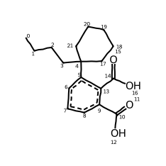 CCCCC1(c2cccc(C(=O)O)c2C(=O)O)CCCCC1